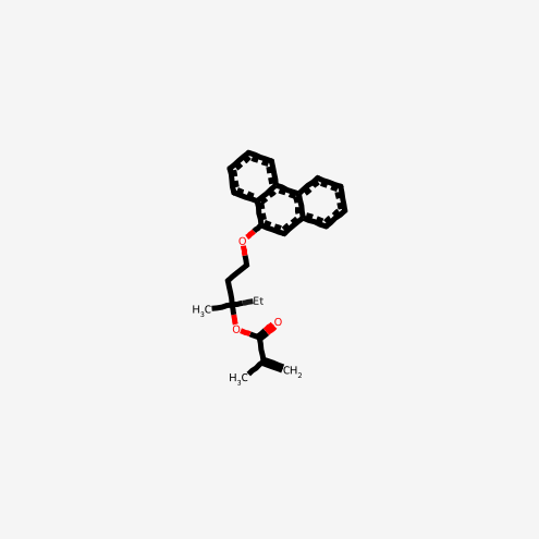 C=C(C)C(=O)OC(C)(CC)CCOc1cc2ccccc2c2ccccc12